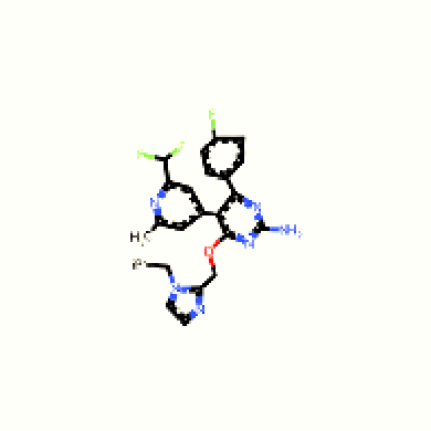 Cc1cc(-c2c(OCc3nccn3CC(C)C)nc(N)nc2-c2ccc(F)cc2)cc(C(F)F)n1